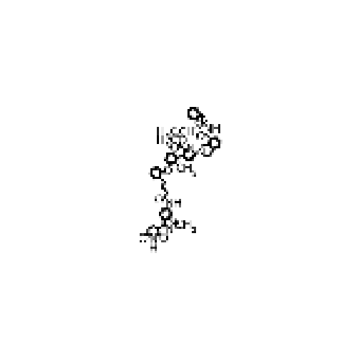 Cc1c(Oc2ccccc2CCCC(=O)Nc2ccc3c(C4CCC(=O)NC4=O)nn(C)c3c2)cccc1-c1ccc(N2CCc3cccc(C(=O)Nc4nc5ccccc5s4)c3C2)nc1C(=O)OC(C)(C)C